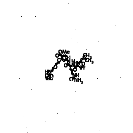 COC(=O)c1ccc(NC(=O)[C@H](CCCNC(N)=O)NC(=O)[C@@H](NC(=O)CN(C)C)C(C)C)cc1OCCOCCNC(=O)OC(C)(C)C